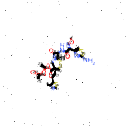 CON=C(C(=O)NC1C(=O)N2CC(C=Cc3scnc3C)(C(=O)OC(C)OC(C)=O)CS[C@H]12)c1csc(N)n1